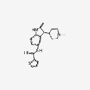 C=C1Nc2ccc(NC(=N)c3cccs3)cc2C1C1CCN(C)CC1